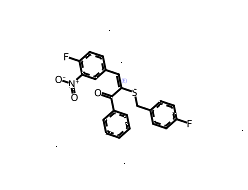 O=C(/C(=C\c1ccc(F)c([N+](=O)[O-])c1)SCc1ccc(F)cc1)c1ccccc1